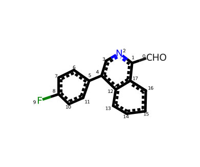 O=Cc1ncc(-c2ccc(F)cc2)c2ccccc12